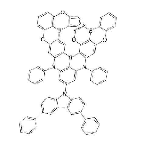 c1ccc(-c2ccc3c(c2)c2cc(-c4ccccc4)ccc2n3-c2cc3c4c(c2)N(c2ccccc2)c2cc5c6c(c2B4c2cc4c(cc2N3c2ccccc2)Oc2cccc3c2B4c2ccccc2O3)Oc2ccccc2B6c2ccccc2O5)cc1